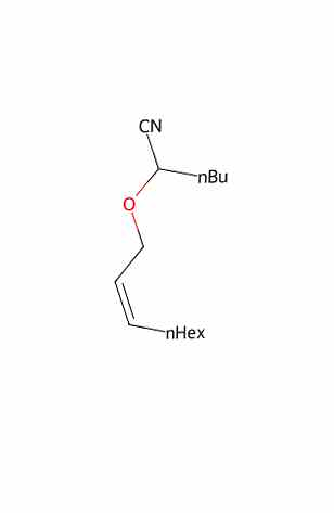 CCCCCC/C=C\COC(C#N)CCCC